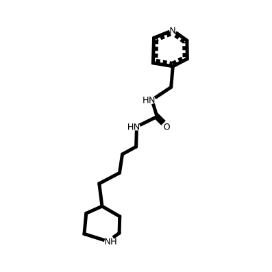 O=C(NCCCCC1CCNCC1)NCc1ccncc1